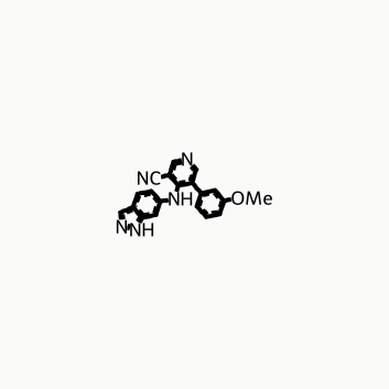 COc1cccc(-c2cncc(C#N)c2Nc2ccc3cn[nH]c3c2)c1